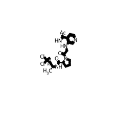 CC(=O)C(=N)c1ccncc1NCC(=O)N1CCC[C@H]1C(=O)N[C@H](C)[C@H]1CC1(Cl)Cl